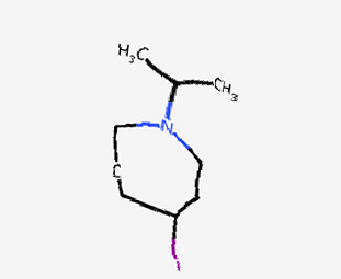 CC(C)N1CCCC(I)CC1